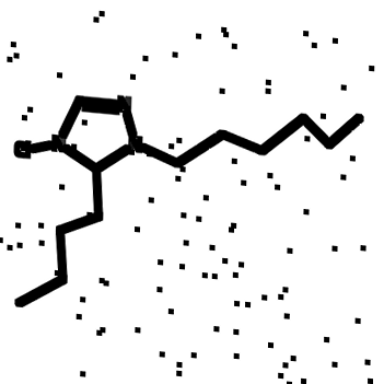 CCCCCCN1N=CN(Cl)C1CCCC